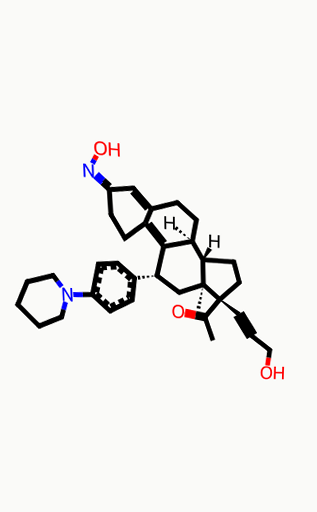 CC(=O)[C@@]1(C#CCO)CC[C@H]2[C@@H]3CCC4=CC(=NO)CCC4=C3[C@@H](c3ccc(N4CCCCC4)cc3)C[C@@]21C